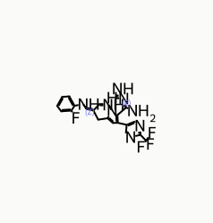 N=C/N=C(/N)c1[nH]c(C/C(C=N)=C/Nc2ccccc2F)cc1-c1cnc(C(F)(F)F)nc1